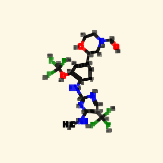 CNc1nc(Nc2ccc(C3CN(C=O)CCO3)cc2OC(F)(F)F)ncc1C(F)(F)F